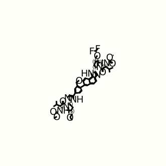 COC[C@H]1C[C@@H](c2ncc(-c3ccc4c(c3)COc3cc5c(ccc6nc([C@@H]7C[C@H](COC(F)F)[C@H](C)N7C(=O)[C@@H](NC(=O)OC)C(C)C)[nH]c65)cc3-4)[nH]2)N(C(=O)[C@@H](NC(=O)OC)C(C)C)C1